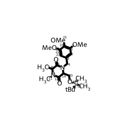 COc1cc(CN2C(=O)C(C)N(C)C(=O)C2CO[Si](C)(C)C(C)(C)C)cc(OC)c1OC